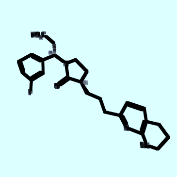 O=C(O)C[C@@H](c1cccc(F)c1)N1CC[C@@H](CCCc2ccc3c(n2)NCCC3)C1=O